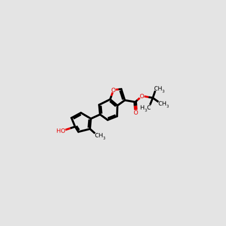 Cc1cc(O)ccc1-c1ccc2c(C(=O)OC(C)(C)C)coc2c1